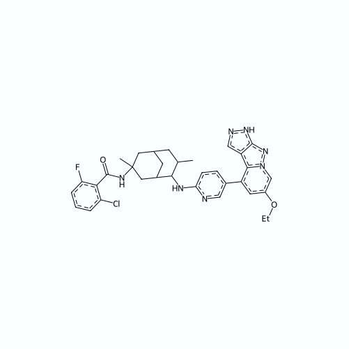 CCOc1cc(-c2ccc(NC3C(C)CC4CC3CC(C)(NC(=O)c3c(F)cccc3Cl)C4)nc2)c2c3cn[nH]c3nn2c1